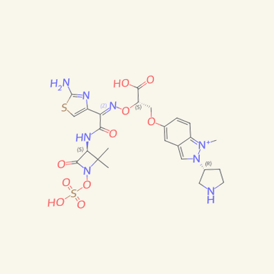 C[n+]1c2ccc(OC[C@H](O/N=C(\C(=O)N[C@@H]3C(=O)N(OS(=O)(=O)O)C3(C)C)c3csc(N)n3)C(=O)O)cc2cn1[C@@H]1CCNC1